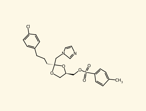 Cc1ccc(S(=O)(=O)OC[C@H]2CO[C@@](CCCc3ccc(Cl)cc3)(Cn3ccnc3)O2)cc1